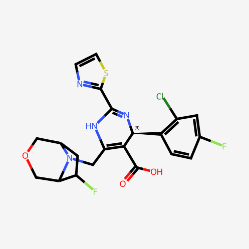 O=C(O)C1=C(CN2C3COCC2C(F)C3)NC(c2nccs2)=N[C@H]1c1ccc(F)cc1Cl